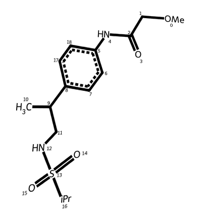 COCC(=O)Nc1ccc(C(C)CNS(=O)(=O)C(C)C)cc1